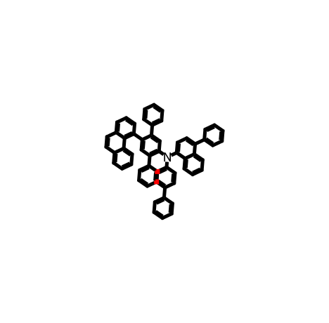 c1ccc(-c2ccc(N(c3cc(-c4ccccc4)c(-c4cccc5ccc6ccccc6c45)cc3-c3ccccc3)c3ccc(-c4ccccc4)c4ccccc34)cc2)cc1